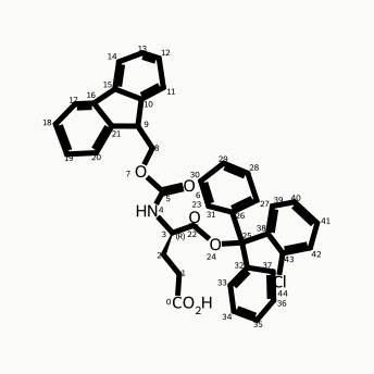 O=C(O)CC[C@@H](NC(=O)OCC1c2ccccc2-c2ccccc21)C(=O)OC(c1ccccc1)(c1ccccc1)c1ccccc1Cl